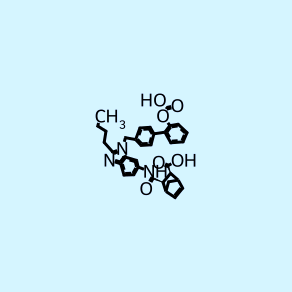 CCCCc1nc2ccc(NC(=O)[C@@H]3C4C=CC(C4)[C@@H]3C(=O)O)cc2n1Cc1ccc(-c2ccccc2OC(=O)O)cc1